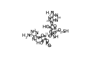 Nc1ncnc2c1ncn2[C@@H]1O[C@H](CO[P@@](=O)(S)O[C@H]2[C@@H](O)[C@H](n3cnc4c(N)ncnc43)O[C@@H]2COCS)[C@@H](OP=O)[C@H]1O